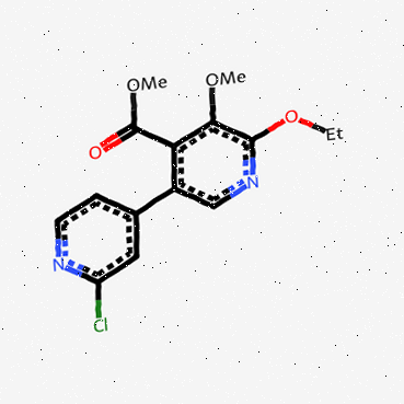 CCOc1ncc(-c2ccnc(Cl)c2)c(C(=O)OC)c1OC